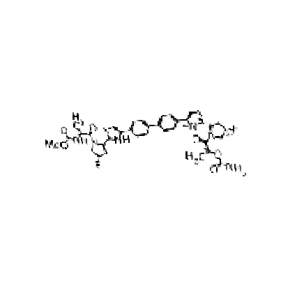 COC(=O)N[C@@H](C)C(=O)N1CC(F)CC1c1ncc(-c2ccc(-c3ccc(-c4cnc([C@@H]5C[C@@H](F)CN5C(=O)[C@H](C)OC(N)=O)[nH]4)cc3)cc2)[nH]1